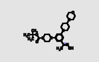 CC(C)(C)OC(=O)N1CCN(c2cc(/C(N)=N/O)cc(N3CCC(N4CCOCC4)CC3)c2)CC1